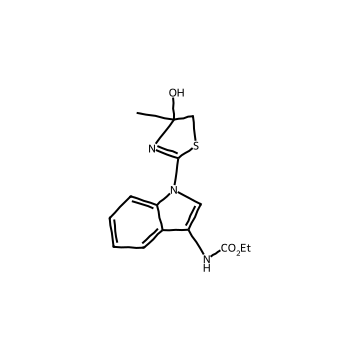 CCOC(=O)Nc1cn(C2=NC(C)(O)CS2)c2ccccc12